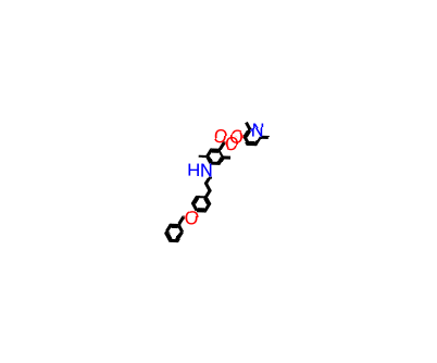 Cc1ccc(OOC(=O)c2cc(C)c(NCCCc3ccc(OCc4ccccc4)cc3)cc2C)c(C)n1